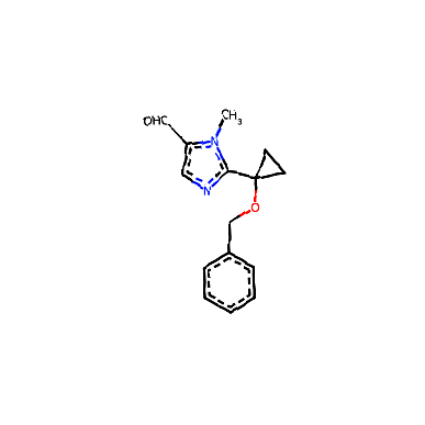 Cn1c(C=O)cnc1C1(OCc2ccccc2)CC1